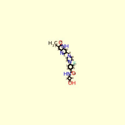 CCc1cc2ncc(CN3CCN(c4ccc(C(=O)NC5CC(O)C5)cc4F)CC3)cc2[nH]c1=O